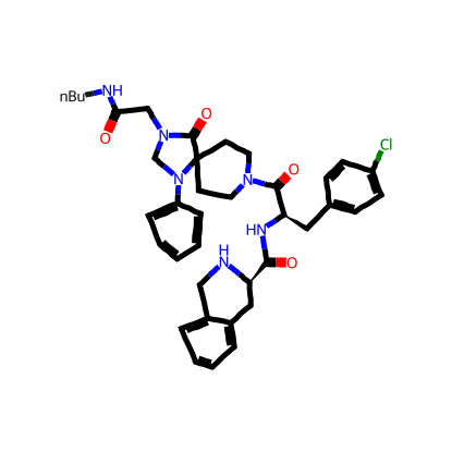 CCCCNC(=O)CN1CN(c2ccccc2)C2(CCN(C(=O)[C@@H](Cc3ccc(Cl)cc3)NC(=O)[C@H]3Cc4ccccc4CN3)CC2)C1=O